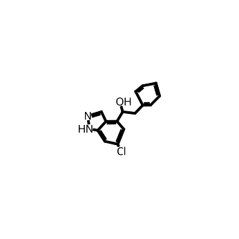 OC(Cc1ccccc1)c1cc(Cl)cc2[nH]ncc12